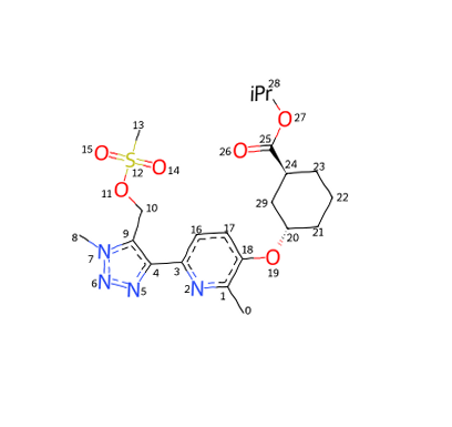 Cc1nc(-c2nnn(C)c2COS(C)(=O)=O)ccc1O[C@H]1CCC[C@H](C(=O)OC(C)C)C1